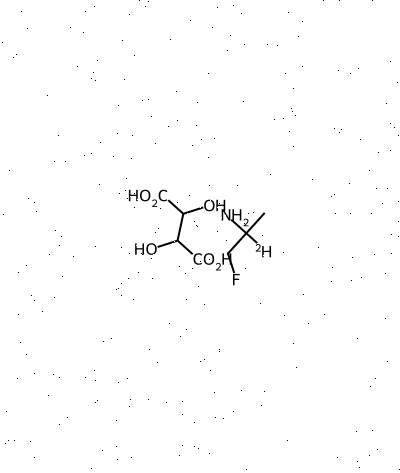 O=C(O)C(O)C(O)C(=O)O.[2H]C(C)(N)CF